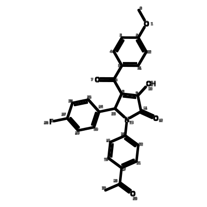 COc1ccc(C(=O)C2=C(O)C(=O)N(c3ccc(C(C)=O)cc3)C2c2ccc(F)cc2)cc1